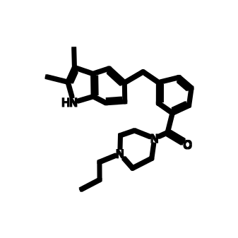 CCCN1CCN(C(=O)c2cccc(Cc3ccc4[nH]c(C)c(C)c4c3)c2)CC1